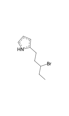 CCC(Br)CCc1ccc[nH]1